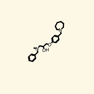 CN(Cc1ccccc1)CC(O)COc1ccc(CN2CCCCCC2)cc1